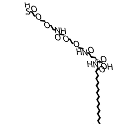 C[SH](C)C(=O)COCCOCCNC(=O)COCCOCCNC(=O)CC[C@H](NC(=O)CCCCCCCCCCCCCCCCC(=O)O)C(=O)O